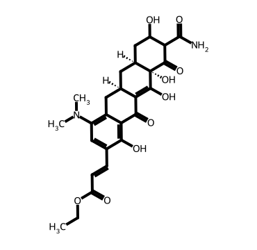 CCOC(=O)/C=C/c1cc(N(C)C)c2c(c1O)C(=O)C1=C(O)[C@]3(O)C(=O)C(C(N)=O)C(O)C[C@@H]3C[C@@H]1C2